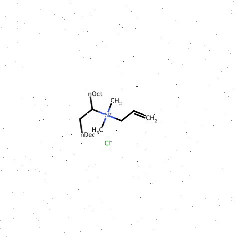 C=CC[N+](C)(C)C(CCCCCCCC)CCCCCCCCCCC.[Cl-]